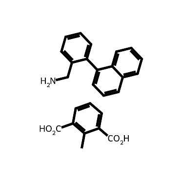 Cc1c(C(=O)O)cccc1C(=O)O.NCc1ccccc1-c1cccc2ccccc12